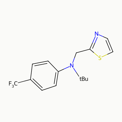 CC(C)(C)N(Cc1nccs1)c1ccc(C(F)(F)F)cc1